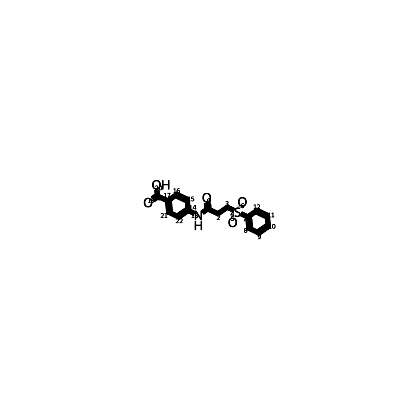 O=C(CCS(=O)(=O)c1ccccc1)Nc1ccc(C(=O)O)cc1